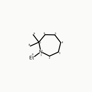 CCN1CCCCCC1(C)C